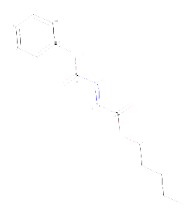 CCCCCOC(=O)N=NC(=O)Oc1ccccc1